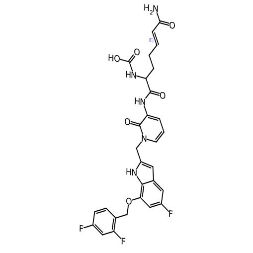 NC(=O)/C=C/CCC(NC(=O)O)C(=O)Nc1cccn(Cc2cc3cc(F)cc(OCc4ccc(F)cc4F)c3[nH]2)c1=O